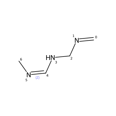 C=NCN/C=N\C